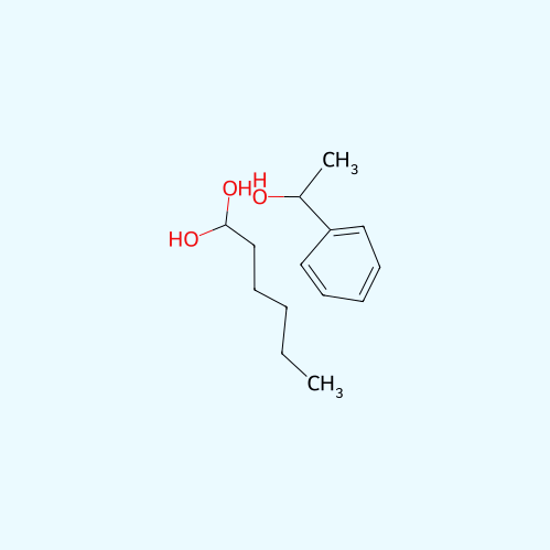 CC(O)c1ccccc1.CCCCCC(O)O